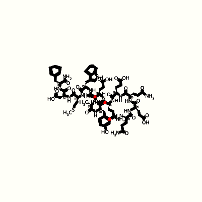 CSCC[C@H](NC(=O)[C@H](Cc1c[nH]c2ccccc12)NC(=O)CNC(=O)[C@H](Cc1ccc(O)cc1)NC(=O)[C@H](C)NC(=O)[C@@H](CCC(=O)O)NC(=O)[C@@H](CCC(N)=O)NC(=O)[C@@H](CCC(=O)O)NC(=O)[C@@H](CCC(N)=O)NC(=O)[C@@H](CCC(=O)O)NC(=O)[C@H](N)CCC(N)=O)C(=O)N[C@@H](CC(=O)O)C(=O)N[C@@H](Cc1ccccc1)C(N)=O